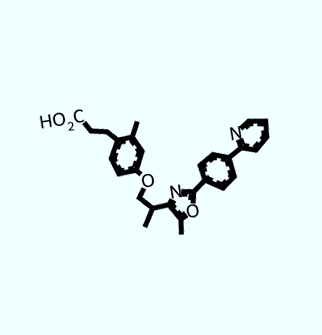 Cc1cc(OCC(C)c2nc(-c3ccc(-c4ccccn4)cc3)oc2C)ccc1CCC(=O)O